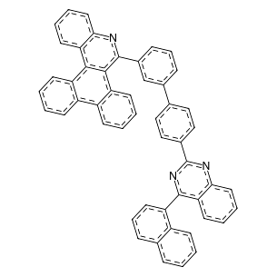 c1cc(-c2ccc(-c3nc(-c4cccc5ccccc45)c4ccccc4n3)cc2)cc(-c2nc3ccccc3c3c4ccccc4c4ccccc4c23)c1